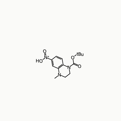 CN1CCN(C(=O)OC(C)(C)C)c2ccc([N+](=O)O)cc21